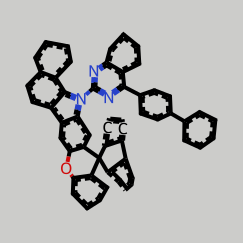 c1ccc(-c2ccc(-c3nc(-n4c5cc6c(cc5c5ccc7ccccc7c54)Oc4ccccc4C64c5ccccc5-c5ccccc54)nc4ccccc34)cc2)cc1